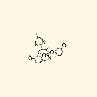 COc1ccc(CN(Cc2ccc(OC)cc2)S(=O)(=O)C(C)C(=O)c2ncc(C)cn2)cc1